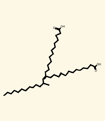 CCCCCCCCCCCC(C)C=C(CCCCCCCCCCCCC(=O)O)CCCCCCCCCCCCC(=O)O